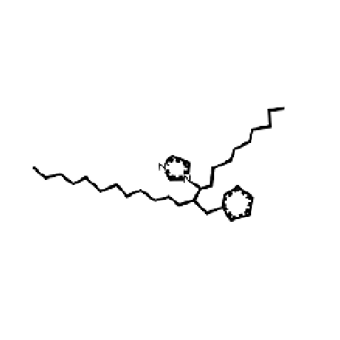 CCCCCCCCCCCCC(Cc1ccccc1)C(CCCCCCCCC)n1ccnc1